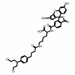 O=C(CCCc1ccc(C(CCCl)CCCl)cc1)NCCCCC(NC(=O)c1ccc2c(c1)C1(OC2=O)c2ccc(O)cc2Oc2cc(O)ccc21)C(=O)O